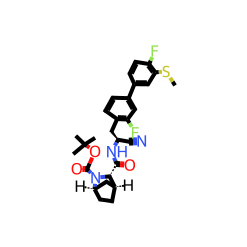 CSc1cc(-c2ccc(C[C@@H](C#N)NC(=O)[C@@H]3[C@H]4CC[C@H](C4)N3C(=O)OC(C)(C)C)c(F)c2)ccc1F